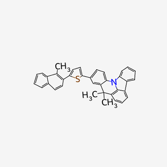 Cc1c(-c2ccc(-c3ccc4c(c3)C(C)(C)c3cccc5c6ccccc6n-4c35)s2)ccc2ccccc12